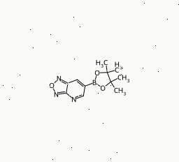 CC1(C)OB(c2cnc3nonc3c2)OC1(C)C